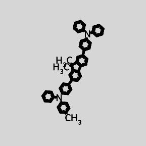 Cc1ccc(N(c2ccccc2)c2ccc(-c3ccc4c(c3)C(C)(C)c3cc(-c5ccc(N(c6ccccc6)c6ccccc6)cc5)ccc3-4)cc2)cc1